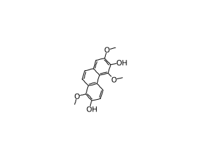 COc1cc2ccc3c(OC)c(O)ccc3c2c(OC)c1O